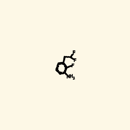 Nc1cccc(CC(F)F)c1F